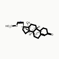 C[C@]12CC[C@H]3[C@@H](CCC4=CC(=O)CC[C@@]43C)[C@@H]1CC[C@H]2/C=C\OC(=O)O